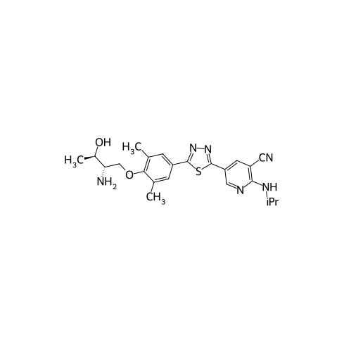 Cc1cc(-c2nnc(-c3cnc(NC(C)C)c(C#N)c3)s2)cc(C)c1OC[C@H](N)[C@@H](C)O